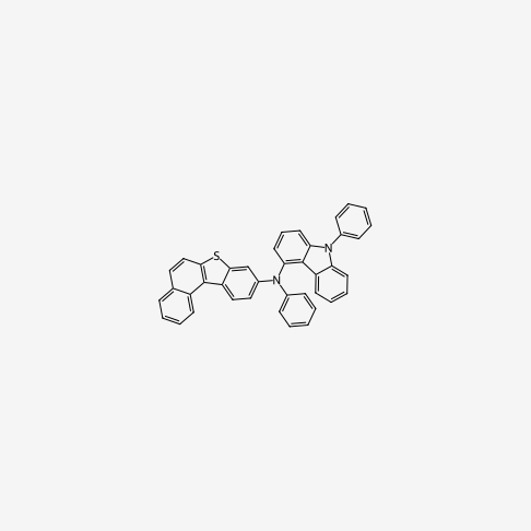 c1ccc(N(c2ccc3c(c2)sc2ccc4ccccc4c23)c2cccc3c2c2ccccc2n3-c2ccccc2)cc1